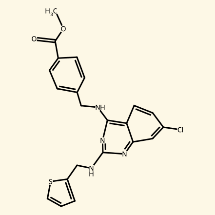 COC(=O)c1ccc(CNc2nc(NCc3cccs3)nc3cc(Cl)ccc23)cc1